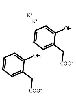 O=C([O-])Cc1ccccc1O.O=C([O-])Cc1ccccc1O.[K+].[K+]